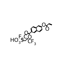 C=CC(=O)Oc1ccc2cc(C(=O)OC(CS(=O)(=O)O)(C(F)(F)F)C(F)(F)F)ccc2c1